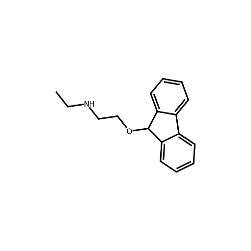 CCNCCOC1c2ccccc2-c2ccccc21